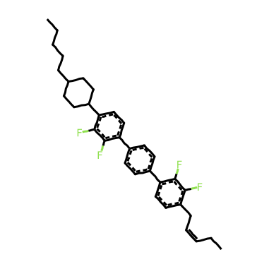 CC/C=C\Cc1ccc(-c2ccc(-c3ccc(C4CCC(CCCCC)CC4)c(F)c3F)cc2)c(F)c1F